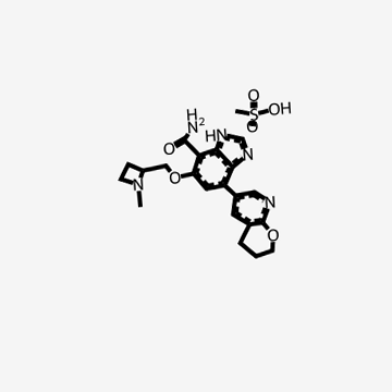 CN1CCC1COc1cc(-c2cnc3c(c2)CCCO3)c2nc[nH]c2c1C(N)=O.CS(=O)(=O)O